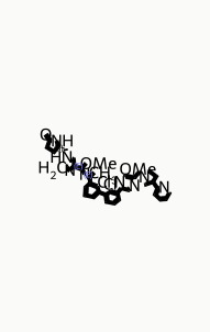 C=N/C(CNC[C@@H]1CCC(=O)N1)=C(\N=C(/C)c1cccc(-c2cccc(-c3cnc(CN4CCC(c5ccccn5)C4)c(OC)n3)c2Cl)c1Cl)OC